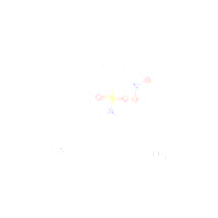 CC#CCCN(CCC#CC)S(=O)(=O)c1ccccc1[N+](=O)[O-]